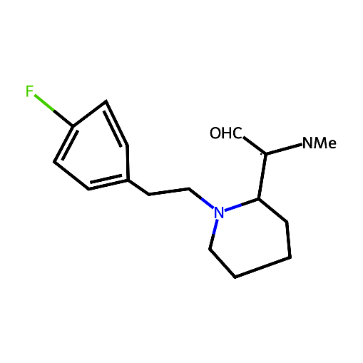 CN[C](C=O)C1CCCCN1CCc1ccc(F)cc1